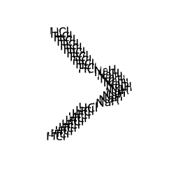 Cl.Cl.Cl.Cl.Cl.Cl.Cl.Cl.Cl.Cl.Cl.Cl.Cl.Cl.Cl.Cl.Cl.Cl.Cl.Cl.[NaH].[NaH].[NaH].[NaH].[NaH].[NaH].[NaH].[NaH].[NaH].[NaH]